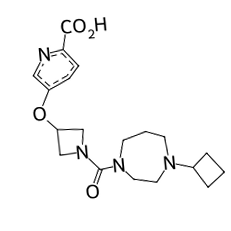 O=C(O)c1ccc(OC2CN(C(=O)N3CCCN(C4CCC4)CC3)C2)cn1